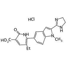 CCc1cc(C(=O)O)c(=O)[nH]c1-c1ccc2c(c1)cc(C1=NCCN1)n2C.Cl